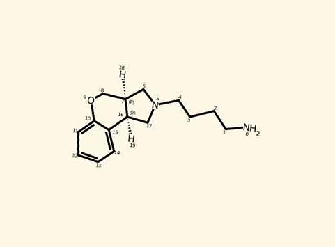 NCCCCN1C[C@@H]2COc3ccccc3[C@@H]2C1